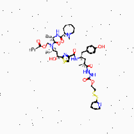 CCCC(=O)OCN(C(=O)[C@@H](NC(=O)[C@H]1CCCCCN1C)C(C)CC)[C@H](C[C@@H](O)c1nc(C(=O)N[C@@H](Cc2ccc(O)cc2)C[C@H](C)C(=O)NNC(=O)OCCSSc2ccccn2)cs1)C(C)C